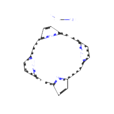 C1=Cc2cc3ccc(cc4nc(cc5ccc(cc1n2)[nH]5)C=C4)[nH]3.[NH2][Co][NH2]